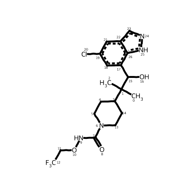 CC(C)(C1CCN(C(=O)NOCC(F)(F)F)CC1)C(O)c1cc(Cl)cc2cn[nH]c12